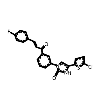 O=C(C=Cc1ccc(F)cc1)c1cccc(-n2cc(-c3ccc(Cl)s3)[nH]c2=O)c1